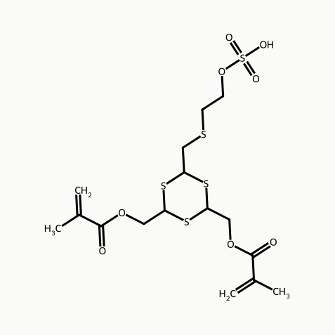 C=C(C)C(=O)OCC1SC(COC(=O)C(=C)C)SC(CSCCOS(=O)(=O)O)S1